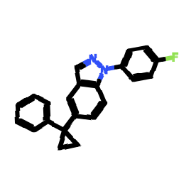 Fc1ccc(-n2ncc3cc(C4(c5ccccc5)CC4)ccc32)cc1